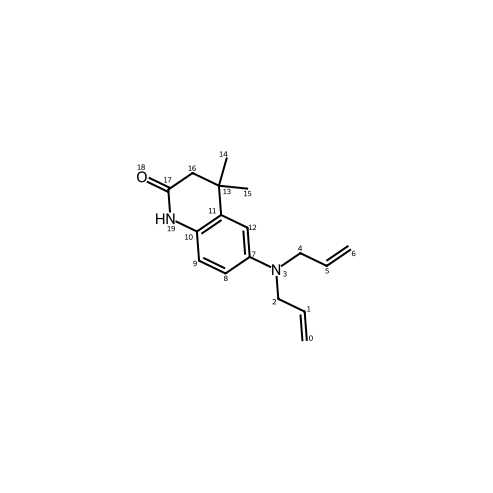 C=CCN(CC=C)c1ccc2c(c1)C(C)(C)CC(=O)N2